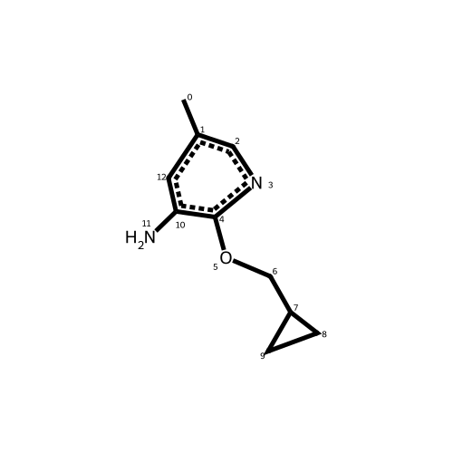 Cc1cnc(OCC2CC2)c(N)c1